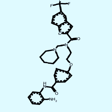 Nc1ccccc1NC(=O)c1ccc(OCCN(CN2CCCCC2)C(=O)c2cc3cc(C(F)(F)F)ccc3o2)cc1